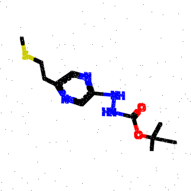 CSCCc1cnc(NNC(=O)OC(C)(C)C)cn1